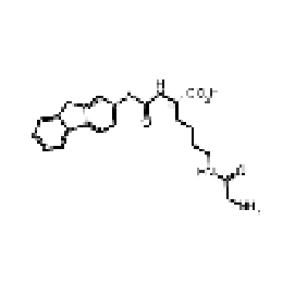 NCC(=O)NCCCC[C@H](NC(=O)Nc1ccc2c(c1)Cc1ccccc1-2)C(=O)O